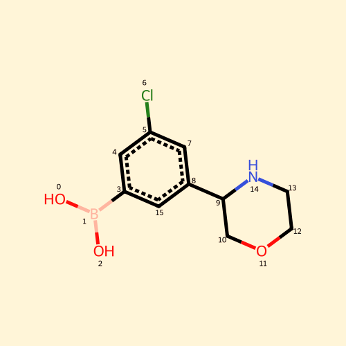 OB(O)c1cc(Cl)cc(C2COCCN2)c1